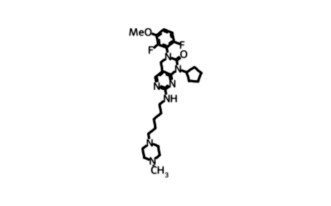 COc1ccc(F)c(N2Cc3cnc(NCCCCCN4CCN(C)CC4)nc3N(C3CCCC3)C2=O)c1F